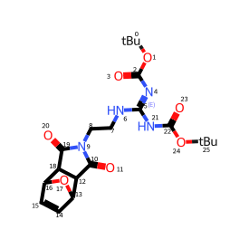 CC(C)(C)OC(=O)/N=C(\NCCN1C(=O)C2C3C=CC(O3)C2C1=O)NC(=O)OC(C)(C)C